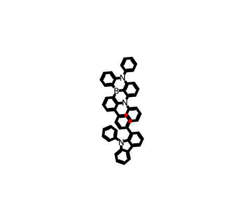 c1ccc(N2c3ccccc3B3c4cccc(-c5ccc(-c6cccc7c8ccccc8n(-c8ccccc8)c67)cc5)c4N(c4ccccc4)c4cccc2c43)cc1